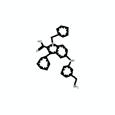 NCc1cccc(Nc2ccc3c(c2)c(-c2ccccc2)c(C(=O)O)n3Cc2ccccc2)c1